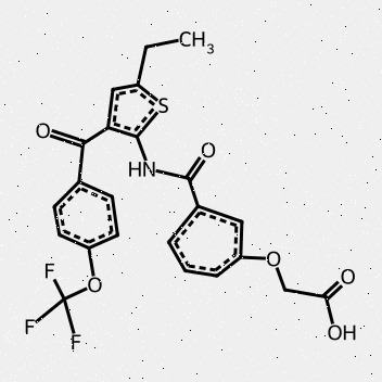 CCc1cc(C(=O)c2ccc(OC(F)(F)F)cc2)c(NC(=O)c2cccc(OCC(=O)O)c2)s1